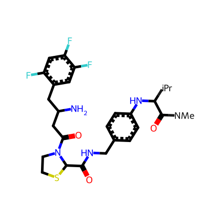 CNC(=O)C(Nc1ccc(CNC(=O)C2SCCN2C(=O)CC(N)Cc2cc(F)c(F)cc2F)cc1)C(C)C